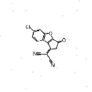 N#CC(C#N)=C1CC(=O)c2oc3cc(Cl)ccc3c21